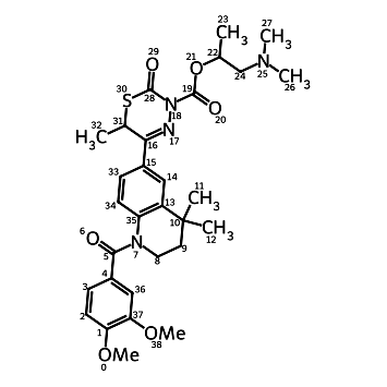 COc1ccc(C(=O)N2CCC(C)(C)c3cc(C4=NN(C(=O)OC(C)CN(C)C)C(=O)SC4C)ccc32)cc1OC